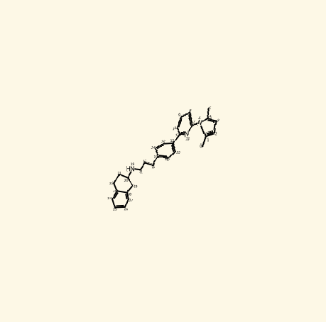 Cc1ccc(C)n1-c1cccc(-c2ccc(CCCNC3CCc4ccccc4C3)cc2)n1